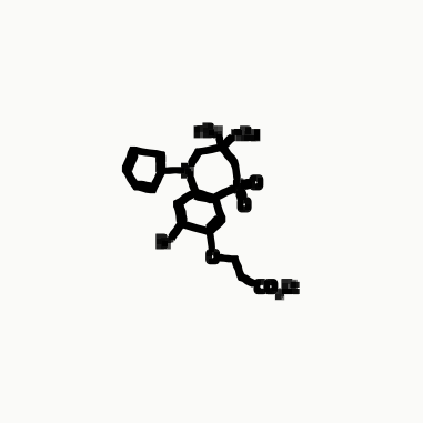 CCCCC1(CCCC)CN(c2ccccc2)c2cc(Br)c(OCCC(=O)OCC)cc2S(=O)(=O)C1